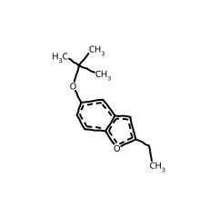 CCc1cc2cc(OC(C)(C)C)ccc2o1